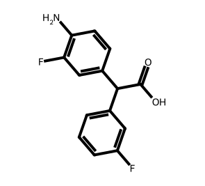 Nc1ccc(C(C(=O)O)c2cccc(F)c2)cc1F